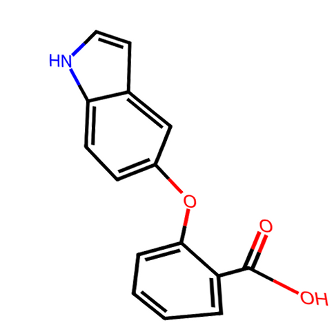 O=C(O)c1ccccc1Oc1ccc2[nH]ccc2c1